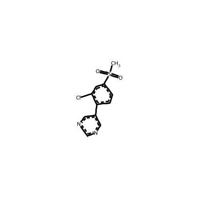 CS(=O)(=O)c1ccc(-c2cn[c]nc2)c(Cl)c1